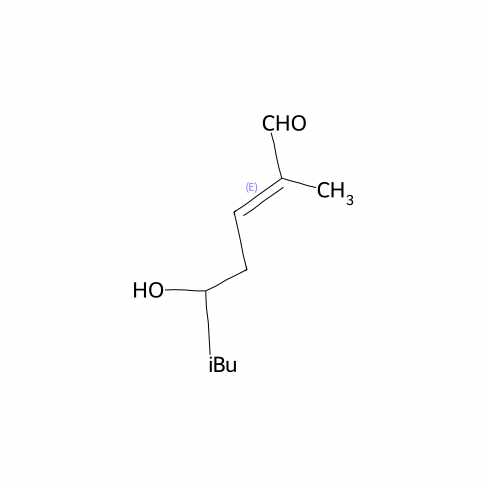 CCC(C)C(O)C/C=C(\C)C=O